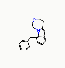 c1ccc(Cc2cccc3cc4n(c23)CCNCC4)cc1